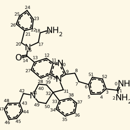 N=C(N)c1ccc(CCc2nc3cc(C(=O)N(CCN)Cc4ccccc4)ccc3n2CC2(c3ccccc3)CCN(Cc3ccccc3)CC2)cc1